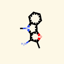 Cc1oc2c3ccccc3n(C)c2c1N